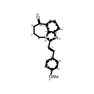 COc1ccc(/C=C/c2nc3cccc4c3n2CCCC4=O)cc1